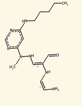 CCCCCNc1cc(N(C)N/C=C(\C=O)N/C=C\N)ncn1